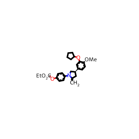 C=C1C[C@H](c2ccc(OC)c(OC3CCCC3)c2)CN1c1ccc(OC(=O)OCC)cc1